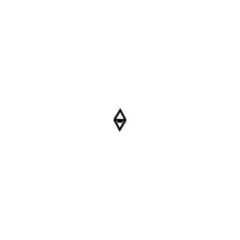 C1C2=C1C2